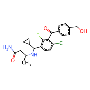 C[C@@H](CC(N)=O)NC(c1ccc(Cl)c(C(=O)c2ccc(CO)cc2)c1F)C1CC1